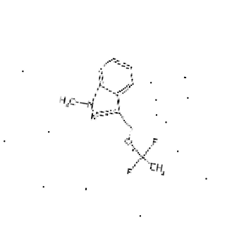 Cn1nc(COC(C)(F)F)c2ccccc21